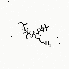 CCC(C)O[Si](C)(C)[C@](C)(CC)O[Si](C)(CCCN)C(C)O[Si](C)(C)C(C)(C)C